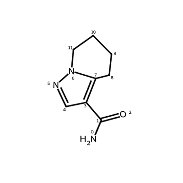 NC(=O)c1cnn2c1CCCC2